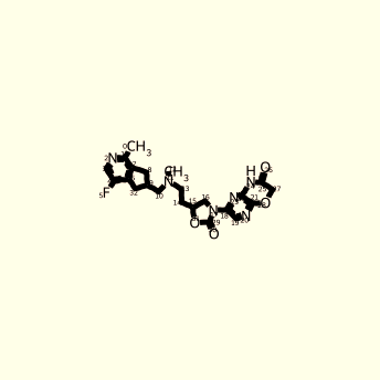 Cc1ncc(F)c2c1CC(CN(C)CCC1CN(c3cnc4c(n3)NC(=O)CO4)C(=O)O1)C2